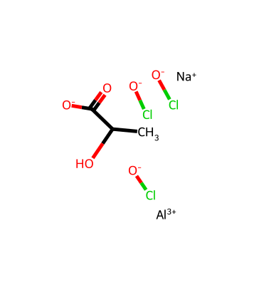 CC(O)C(=O)[O-].[Al+3].[Na+].[O-]Cl.[O-]Cl.[O-]Cl